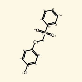 O=S(=O)(COc1ccc(Cl)cc1)c1ccccc1